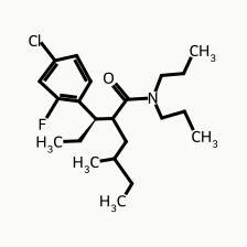 CCCN(CCC)C(=O)C(CC(C)CC)[C@@H](CC)c1ccc(Cl)cc1F